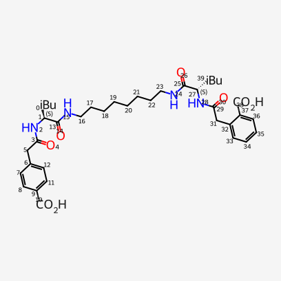 CCC(C)[C@H](NC(=O)Cc1ccc(C(=O)O)cc1)C(=O)NCCCCCCCCNC(=O)[C@@H](NC(=O)Cc1ccccc1C(=O)O)C(C)CC